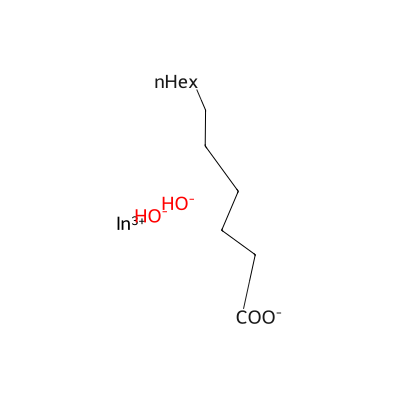 CCCCCCCCCCCC(=O)[O-].[In+3].[OH-].[OH-]